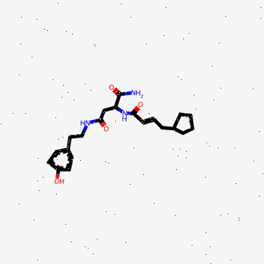 NC(=O)C(CC(=O)NCCc1ccc(O)cc1)NC(=O)C=CCC1CCCC1